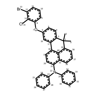 CC1(C)c2ccc(Oc3cccc(Br)c3Cl)cc2-c2ccc(N(c3ccccc3)c3ccccc3)c3cccc1c23